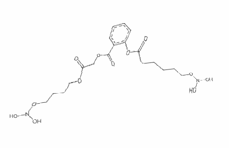 O=C(COC(=O)c1ccccc1OC(=O)CCCCCON(O)O)OCCCCON(O)O